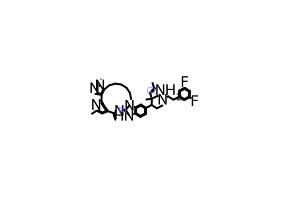 C=C1/N=C2\Nc3ccc(C4CCN(CCc5cc(F)cc(F)c5)CC4(C)/C=C(/C)N)cc3N2CCCCCCc2c(cnn2C)-c2cc1cc(C)n2